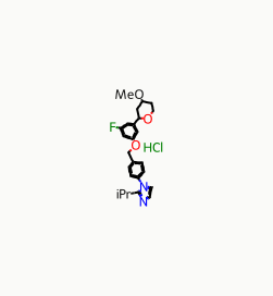 COC1CCOC(c2cc(F)cc(OCc3ccc(-n4ccnc4C(C)C)cc3)c2)C1.Cl